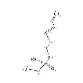 C=C/C=C/CCOP(=O)(O)OC